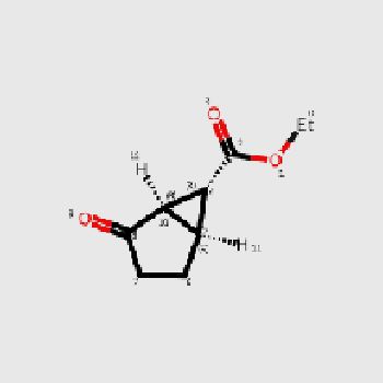 CCOC(=O)[C@@H]1[C@H]2CCC(=O)[C@H]21